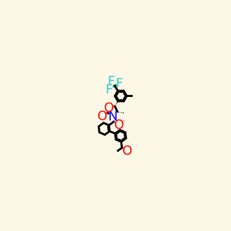 COc1ccc(C(C)=O)cc1C1=C(CN2C(=O)O[C@H](c3cc(C)cc(C(F)(F)F)c3)[C@@H]2C)CCCC1